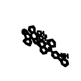 CC1(C)c2ccccc2C2(c3ccccc3-c3ccccc32)c2ccc(-c3cccc(N(c4ccc5c(c4)[nH]c4ccccc45)c4ccccc4-c4ccccc4)c3)cc21